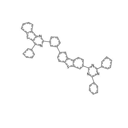 c1ccc(-c2nc(-c3ccccc3)nc(-c3ccc4c(c3)sc3ccc(-c5cccc(-c6nc(-c7ccccc7)c7sc8ccccc8c7n6)c5)cc34)n2)cc1